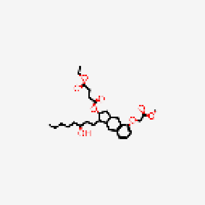 CCCCCC(O)CCC1C(OC(=O)CCC(=O)OCC)CC2Cc3c(cccc3OCC(=O)OC)CC21